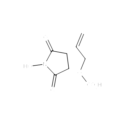 C=CCOC(=O)O.O=C1CCC(=O)N1O